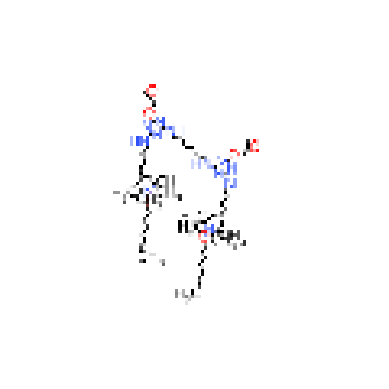 CCCCCCCCON1C(C)(C)CC(CCCCNc2nc(NCCCCCCNc3nc(NCCCCC4CC(C)(C)N(OCCCCCCCC)C(C)(C)C4)nc(OCC4CO4)n3)nc(OCC3CO3)n2)CC1(C)C